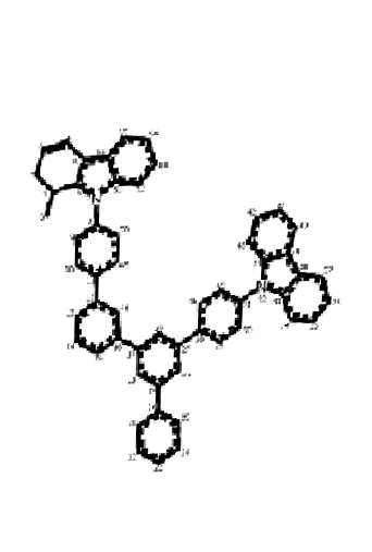 CC1CC=Cc2c1n(-c1ccc(-c3cccc(-c4cc(-c5ccccc5)cc(-c5ccc(-n6c7ccccc7c7ccccc76)cc5)c4)c3)cc1)c1ccccc21